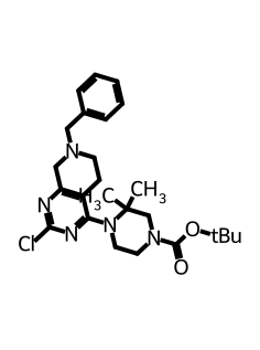 CC(C)(C)OC(=O)N1CCN(c2nc(Cl)nc3c2CCN(Cc2ccccc2)C3)C(C)(C)C1